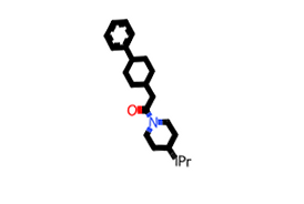 CC(C)C1CCN(C(=O)CC2CCC(c3ccccc3)CC2)CC1